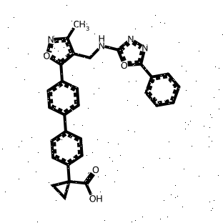 Cc1noc(-c2ccc(-c3ccc(C4(C(=O)O)CC4)cc3)cc2)c1CNc1nnc(-c2ccccc2)o1